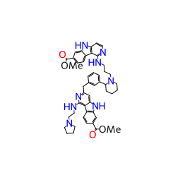 COC(=O)c1ccc2c(c1)[nH]c1ccnc(NCCCN3CCCCC3c3cccc(Cc4cc5[nH]c6cc(C(=O)OC)ccc6c5c(NCCN5CCCC5)n4)c3)c12